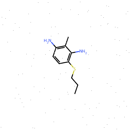 CCCSc1ccc(N)c(C)c1N